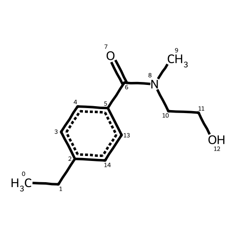 CCc1ccc(C(=O)N(C)CCO)cc1